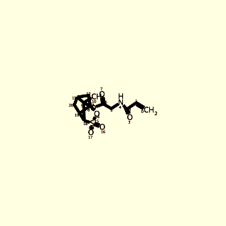 C=CC(=O)NCC(=O)OC1(C)C2CC3OS(=O)(=O)C1C3C2